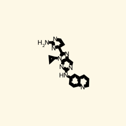 Nc1nccc(-c2nc3cnc(Nc4ccc5ncccc5c4)nc3n2C2CC2)n1